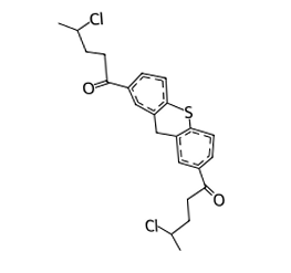 CC(Cl)CCC(=O)c1ccc2c(c1)Cc1cc(C(=O)CCC(C)Cl)ccc1S2